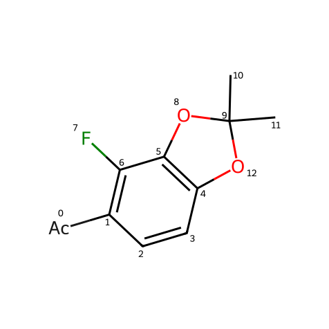 CC(=O)c1ccc2c(c1F)OC(C)(C)O2